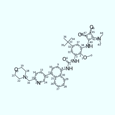 COc1c(NC(=O)Nc2ccc(-c3ccc(CN4CCOCC4)nc3)c3ccccc23)cc(C(C)(C)C)cc1Nc1c(N(C)C)c(=O)c1=O